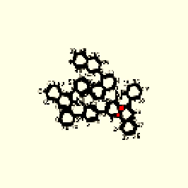 c1ccc(-c2ccc(-c3cccc(N(c4ccccc4-c4ccc5ccccc5c4)c4ccc(-c5ccc6ccccc6c5)c5ccccc45)c3)cc2-n2c3ccccc3c3c4ccccc4ccc32)cc1